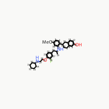 COc1ccc(C2CCc3cc(O)ccc3C2)c(NC(C)Cc2ccc(OCCNC3CCCCC3)c(F)c2)c1